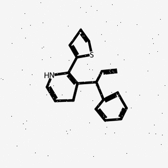 C=CC(C1=C(c2cccs2)NC=CC1)c1ccccc1